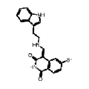 O=C1NC(=O)c2ccc(Br)cc2C1=CNCCc1c[nH]c2ccccc12